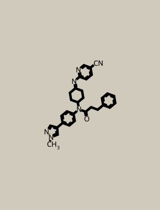 Cn1cc(-c2ccc(N(C(=O)CCc3ccccc3)C3CCC(=Nc4ccc(C#N)cn4)CC3)cc2)cn1